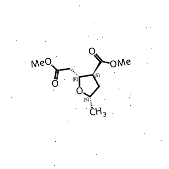 COC(=O)C[C@H]1O[C@@H](C)C[C@@H]1C(=O)OC